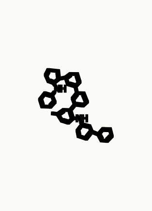 Cc1ccc(Nc2cccc(-c3ccccc3)c2)c(-c2cccc(-c3cccc(-c4ccccc4Nc4ccccc4)c3)c2)c1